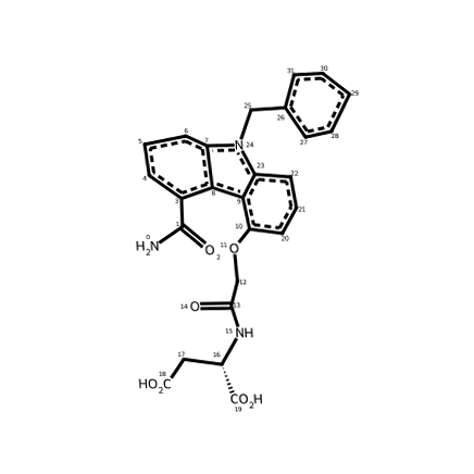 NC(=O)c1cccc2c1c1c(OCC(=O)N[C@@H](CC(=O)O)C(=O)O)cccc1n2Cc1ccccc1